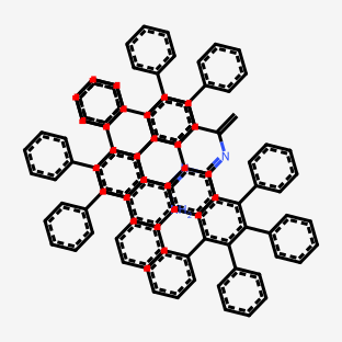 C=C(/N=C(\N=C(/N)c1c(-c2ccccc2)c(-c2ccccc2)c(-c2ccccc2)c(-c2ccccc2)c1-c1ccccc1)c1c(-c2ccccc2)c(-c2ccccc2)c(-c2ccccc2)c(-c2ccccc2)c1-c1ccccc1)c1c(-c2ccccc2)c(-c2ccccc2)c(-c2ccccc2)c(-c2ccccc2)c1-c1ccccc1